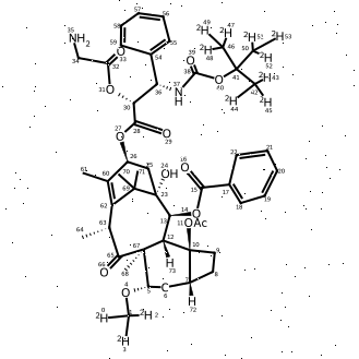 [2H]C([2H])([2H])O[C@H]1C[C@H]2CC[C@@]2(OC(C)=O)[C@H]2[C@H](OC(=O)c3ccccc3)[C@]3(O)C[C@H](OC(=O)[C@H](OC(=O)CN)[C@@H](NC(=O)OC(C([2H])([2H])[2H])(C([2H])([2H])[2H])C([2H])([2H])[2H])c4ccccc4)C(C)=C([C@@H](C)C(=O)[C@]12C)C3(C)C